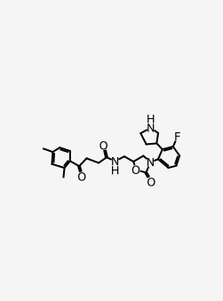 Cc1ccc(C(=O)CCC(=O)NCC2CN(c3cccc(F)c3C3CCNC3)C(=O)O2)c(C)c1